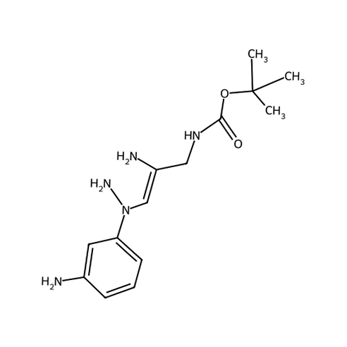 CC(C)(C)OC(=O)NC/C(N)=C/N(N)c1cccc(N)c1